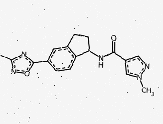 CCc1noc(-c2ccc3c(c2)CCC3NC(=O)c2cnn(C)c2)n1